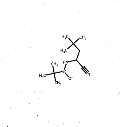 CC(C)(C)CC(C#N)N[S+]([O-])C(C)(C)C